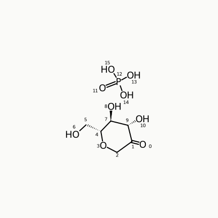 O=C1CO[C@H](CO)[C@@H](O)[C@@H]1O.O=P(O)(O)O